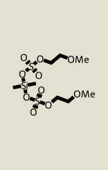 COCCOS(=O)(=O)O[Si](C)(C)OS(=O)(=O)OCCOC